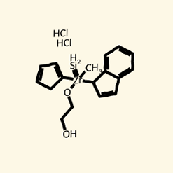 Cl.Cl.[CH3][Zr](=[SiH2])([O]CCO)([C]1=CC=CC1)[CH]1C=Cc2ccccc21